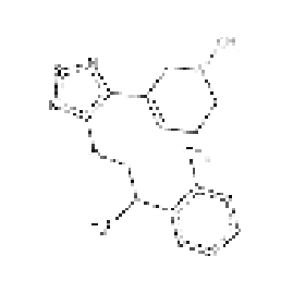 Cc1ccccc1C(C)COc1nsnc1C1=CCCN(C)C1